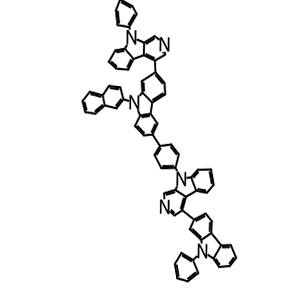 c1ccc(-n2c3ccccc3c3ccc(-c4cncc5c4c4ccccc4n5-c4ccc(-c5ccc6c(c5)c5ccc(-c7cncc8c7c7ccccc7n8-c7ccccc7)cc5n6-c5ccc6ccccc6c5)cc4)cc32)cc1